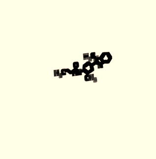 CCCC(=O)Nc1ccc(-c2nc3ccccc3n2C)cc1C